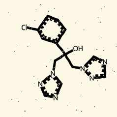 OC(Cn1cncn1)(Cn1cncn1)c1cccc(Cl)c1